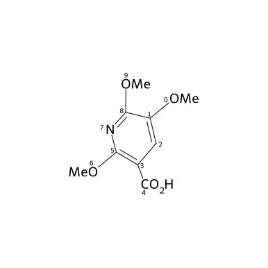 COc1cc(C(=O)O)c(OC)nc1OC